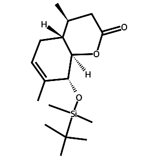 CC1=CC[C@H]2[C@@H](OC(=O)C[C@@H]2C)[C@@H]1O[Si](C)(C)C(C)(C)C